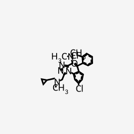 CN(C)Cc1nnc(CN(C)CC2CC2)n1-c1cc(Cl)ccc1C(=O)c1ccccc1Cl